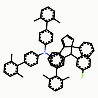 Cc1cccc(C)c1-c1ccc(N(c2ccc(-c3c(C)cccc3C)cc2)c2cc(-c3c(C)cccc3C)cc(C(c3cccc(F)c3)C3(c4ccccc4)C=CC=C3c3ccccc3)c2)cc1